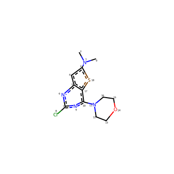 CN(C)c1cc2nc(Cl)nc(N3CCOCC3)c2s1